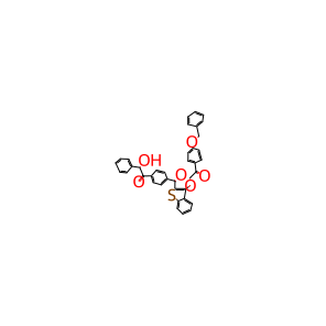 O=C(COc1c(C(=O)c2ccc(C(=O)C(O)c3ccccc3)cc2)sc2ccccc12)c1ccc(OCc2ccccc2)cc1